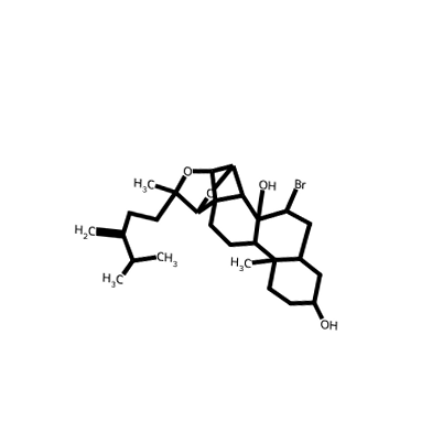 C=C(CCC1(C)OC2C3CC1C21CCC2C4(C)CCC(O)CC4CC(Br)C2(O)C31)C(C)C